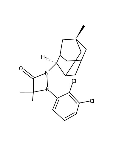 CC1(C)C(=O)N([C@H]2C3CC4CC2C[C@@](C)(C4)C3)N1c1cccc(Cl)c1Cl